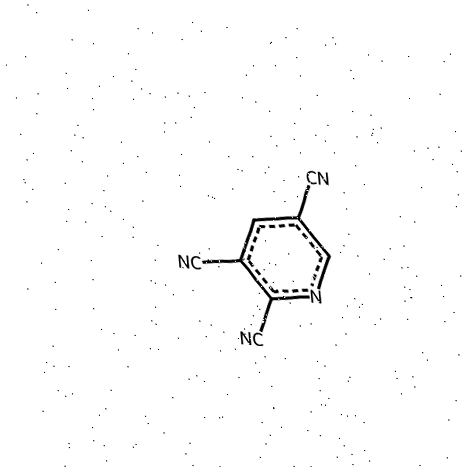 N#Cc1cnc(C#N)c(C#N)c1